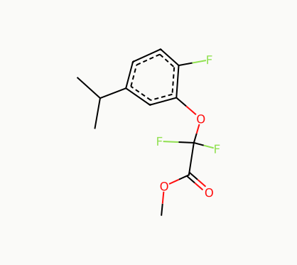 COC(=O)C(F)(F)Oc1cc(C(C)C)ccc1F